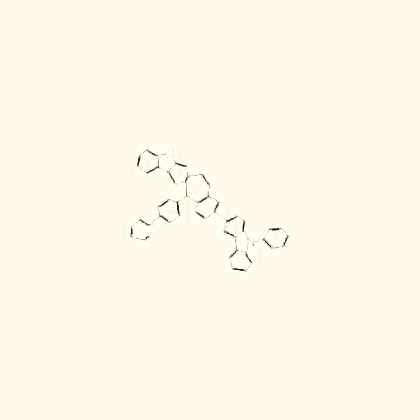 C1=Cc2cc3oc4ccccc4c3cc2C(c2ccc(-c3ccccc3)cc2)c2ccc(-c3ccc4c(c3)c3ccccc3n4-c3ccccc3)cc21